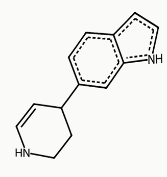 C1=CC(c2ccc3cc[nH]c3c2)CCN1